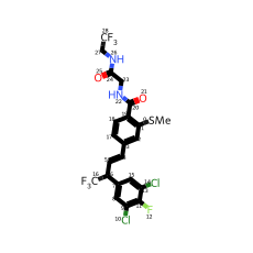 CSc1cc(C=CC(c2cc(Cl)c(F)c(Cl)c2)C(F)(F)F)ccc1C(=O)NCC(=O)NCC(F)(F)F